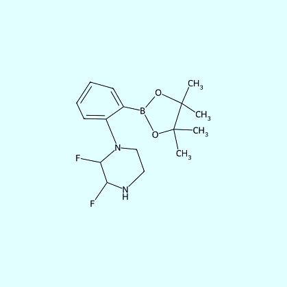 CC1(C)OB(c2ccccc2N2CCNC(F)C2F)OC1(C)C